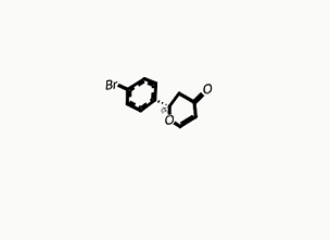 O=C1C=CO[C@H](c2ccc(Br)cc2)C1